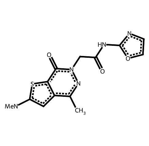 CNc1cc2c(C)nn(CC(=O)Nc3ncco3)c(=O)c2s1